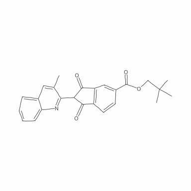 Cc1cc2ccccc2nc1C1C(=O)c2ccc(C(=O)OCC(C)(C)C)cc2C1=O